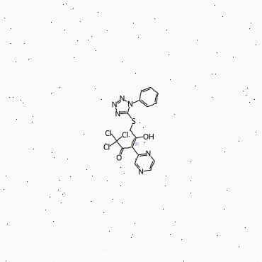 O=C(/C(=C(/O)CSc1nnnn1-c1ccccc1)c1cnccn1)C(Cl)(Cl)Cl